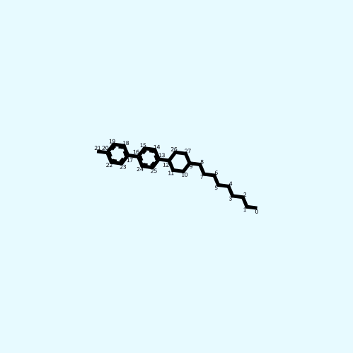 CCCCCCCCCC1CCC(c2ccc(-c3ccc(C)cc3)cc2)CC1